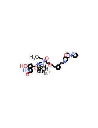 CCCCN(CCNC[C@H](O[Si](C)(C)C(C)(C)C)c1ccc(O)c2[nH]c(=O)ccc12)C(=O)CCOCCc1cccc(CCN2CCC3(CC2)CN(c2ccccn2)CCO3)c1